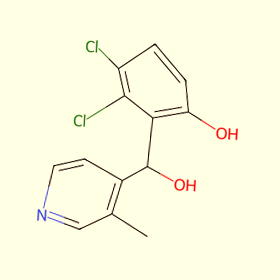 Cc1cnccc1C(O)c1c(O)ccc(Cl)c1Cl